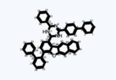 c1ccc(-c2ccc(C3=NC(c4ccccc4)NC(c4ccc(-c5ccccc5-c5ccccc5)c5oc6cc7ccccc7cc6c45)N3)cc2)cc1